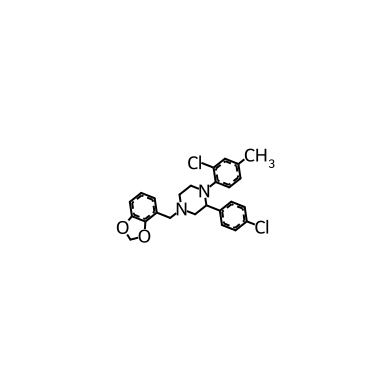 Cc1ccc(N2CCN(Cc3cccc4c3OCO4)CC2c2ccc(Cl)cc2)c(Cl)c1